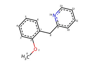 COc1ccccc1Cc1ccccn1